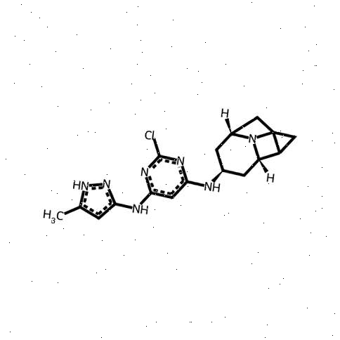 Cc1cc(Nc2cc(N[C@H]3C[C@@H]4CC56CC5[C@H](C3)N46)nc(Cl)n2)n[nH]1